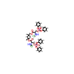 CC(C)(COC(=O)C(COP(=O)(Oc1ccccc1)Oc1ccccc1)NCl)CC(C)(C)OC(=O)C(COP(=O)(Oc1ccccc1)Oc1ccccc1)NCl